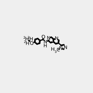 [2H]C([2H])([2H])Oc1ccc(C(=O)Nc2cc3cc(-c4cncn4C)cnc3cn2)cc1